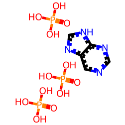 O=P(O)(O)O.O=P(O)(O)O.O=P(O)(O)O.c1ncc2nc[nH]c2n1